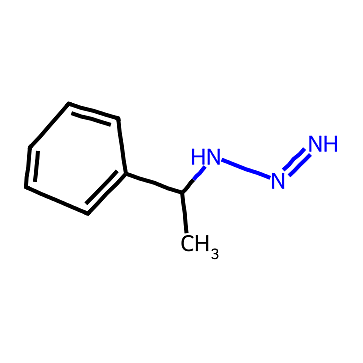 CC(NN=N)c1ccccc1